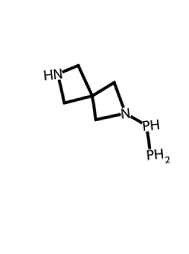 PPN1CC2(CNC2)C1